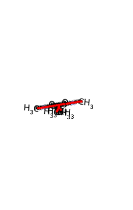 CCCCCCCC/C=C/CCCCCCCC(=O)OCCCCCC(CCCCCOC(=O)CCCCCCC/C=C/CCCCCCCC)OC(=O)N(CCCN(C)C)CCCN(C)C